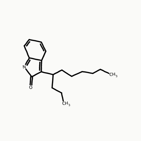 CCCCCCC(CCC)C1=c2ccccc2=NC1=O